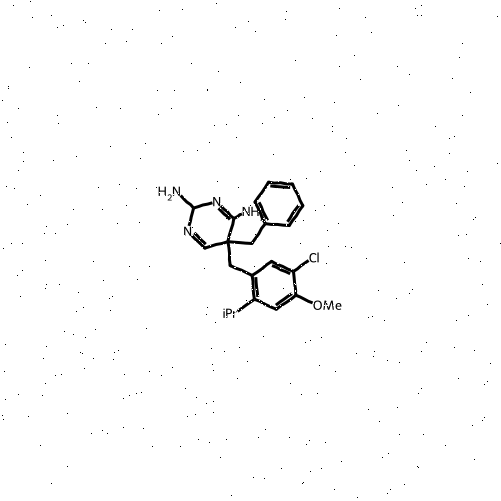 COc1cc(C(C)C)c(CC2(Cc3ccccc3)C=NC(N)N=C2N)cc1Cl